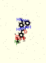 COc1cc(C(Nc2ccc(C(=N)N)cc2)C(=O)NNc2ccccc2)cc(OC)c1OC(=O)C(F)(F)F